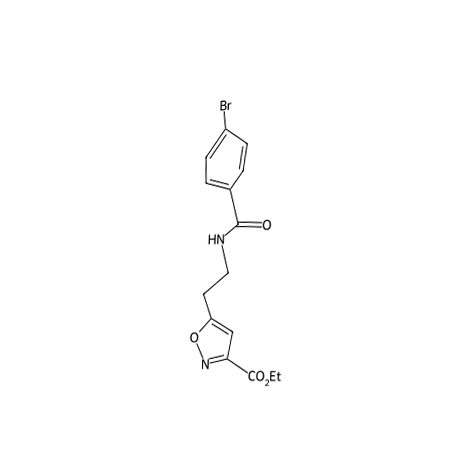 CCOC(=O)c1cc(CCNC(=O)c2ccc(Br)cc2)on1